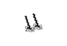 CCCCCCCCC(C(=O)O)C(=O)OC.CCCCCCCCC(C(=O)O)C(=O)OC